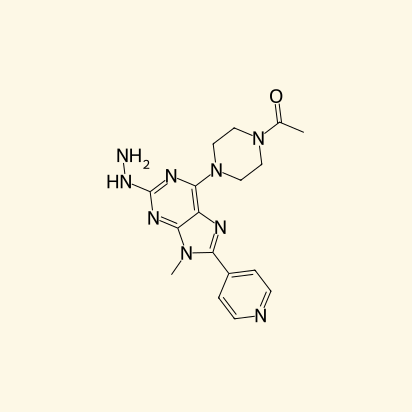 CC(=O)N1CCN(c2nc(NN)nc3c2nc(-c2ccncc2)n3C)CC1